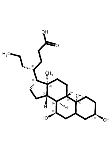 CCC[C@H](CCC(=O)O)[C@H]1CC[C@H]2[C@@H]3[C@H](O)CC4C[C@H](O)CC[C@]4(C)[C@H]3CC[C@]12C